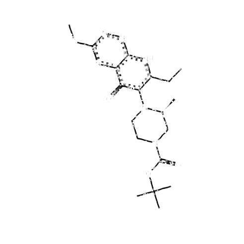 CCc1[nH]c2nnc(SC)nc2c(=O)c1N1CCN(C(=O)OC(C)(C)C)C[C@@H]1C